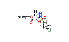 CCCCCCCOC(=O)CC(C)NS(=O)(=O)c1ccc(Cl)cc1